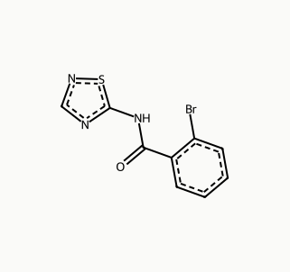 O=C(Nc1ncns1)c1ccccc1Br